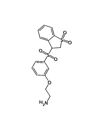 NCCOc1cccc(S(=O)(=O)C2CS(=O)(=O)c3ccccc32)c1